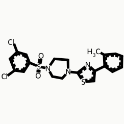 Cc1ccccc1-c1csc(N2CCN(S(=O)(=O)c3cc(Cl)cc(Cl)c3)CC2)n1